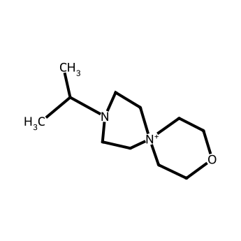 CC(C)N1CC[N+]2(CCOCC2)CC1